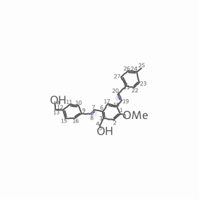 COc1cc(CO)c(/C=C/c2ccc(CO)cc2)cc1/C=C/c1ccc(C)cc1